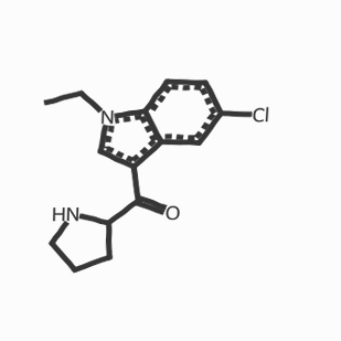 CCn1cc(C(=O)C2CCCN2)c2cc(Cl)ccc21